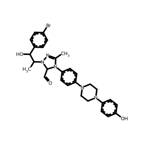 CC1=NN(C(C)C(O)c2ccc(Br)cc2)C(C=O)N1c1ccc(N2CCN(c3ccc(O)cc3)CC2)cc1